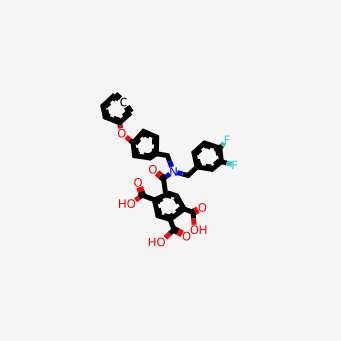 O=C(O)c1cc(C(=O)O)c(C(=O)N(Cc2ccc(Oc3ccccc3)cc2)Cc2ccc(F)c(F)c2)cc1C(=O)O